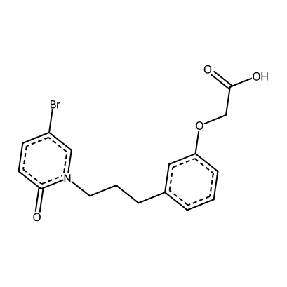 O=C(O)COc1cccc(CCCn2cc(Br)ccc2=O)c1